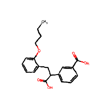 CCCCOc1ccccc1CC(C(=O)O)c1cccc(C(=O)O)c1